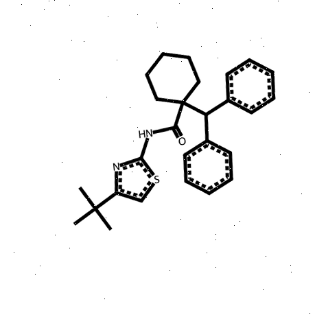 CC(C)(C)c1csc(NC(=O)C2(C(c3ccccc3)c3ccccc3)CCCCC2)n1